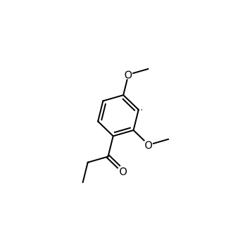 CCC(=O)c1ccc(OC)[c]c1OC